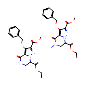 CCOC(=O)C1CN(C)C(=O)c2c(OCc3ccccc3)c(C(=O)OC)nn21.CCOC(=O)C1CNC(=O)c2c(OCc3ccccc3)c(C(=O)OC)nn21